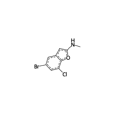 CNc1cc2cc(Br)cc(Cl)c2o1